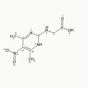 CC1=NC(NCC(=O)O)NC(C)=C1[N+](=O)[O-]